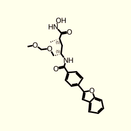 COCOC[C@H](C[C@H](C)C(=O)NO)NC(=O)c1ccc(-c2cc3ccccc3o2)cc1